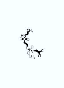 CCNS(=O)(=O)CCOP(=O)(OC)OC=C(Cl)Cl